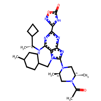 CC(=O)N1C[C@@H](C)N(c2nc3nc(-c4noc(=O)[nH]4)nc(N[C@H](C)C4CCC4)c3n2CC2CCC(C)CC2)C[C@@H]1C